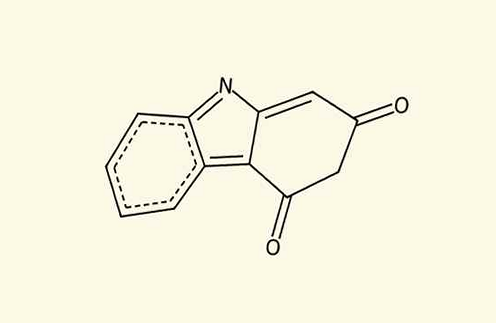 O=C1C=C2N=c3ccccc3=C2C(=O)C1